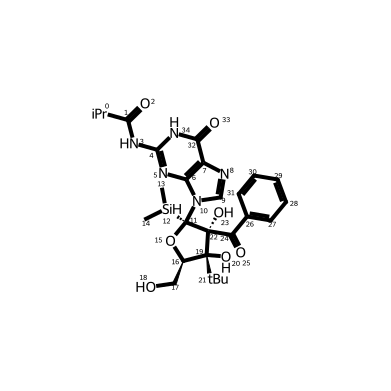 CC(C)C(=O)Nc1nc2c(ncn2[C@]2([SiH](C)C)O[C@H](CO)[C@](O)(C(C)(C)C)[C@]2(O)C(=O)c2ccccc2)c(=O)[nH]1